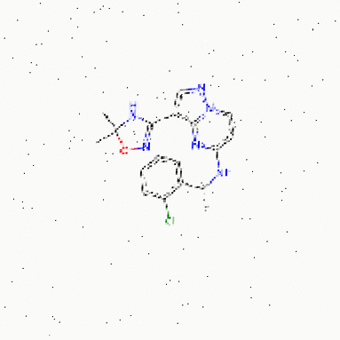 C[C@@H](Nc1ccn2ncc(C3=NOC(C)(C)N3)c2n1)c1ccccc1Cl